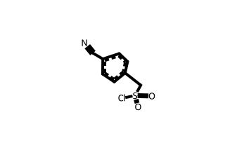 N#Cc1ccc(CS(=O)(=O)Cl)cc1